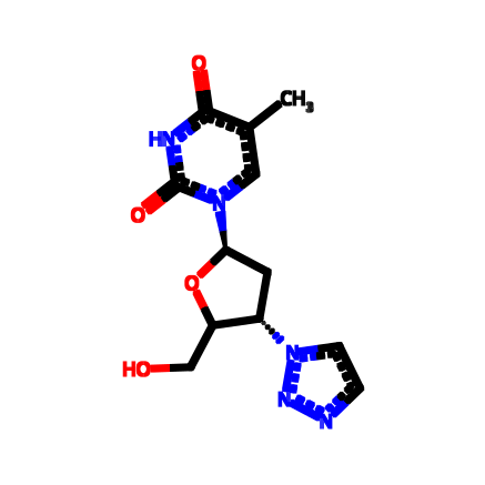 Cc1cn([C@H]2C[C@H](n3ccnn3)C(CO)O2)c(=O)[nH]c1=O